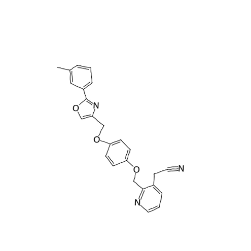 Cc1cccc(-c2nc(COc3ccc(OCc4ncccc4CC#N)cc3)co2)c1